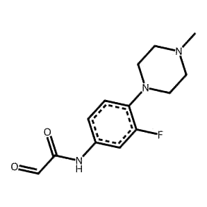 CN1CCN(c2ccc(NC(=O)C=O)cc2F)CC1